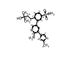 Cc1ncc(-c2cc(-c3cc(S(N)(=O)=O)ccc3CCC(C)(C)O)cnc2N)s1